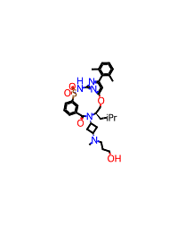 Cc1cccc(C)c1-c1cc2nc(n1)NS(=O)(=O)c1cccc(c1)C(=O)N([C@H]1C[C@@H](N(C)CCCO)C1)[C@H](CC(C)C)CO2